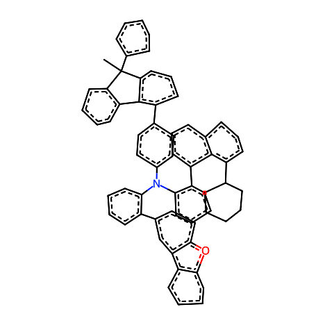 CC1(c2ccccc2)c2ccccc2-c2c(-c3ccc(N(c4ccccc4-c4ccc5oc6ccccc6c5c4)c4ccccc4-c4cccc5cccc(C6CCCCC6)c45)cc3)cccc21